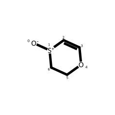 [O-][S+]1C=COCC1